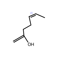 C=C(O)CC/C=C\C